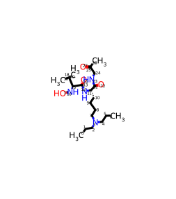 CCCN(CCC)CCCC[C@H](NC(=O)[C@@H](NO)C(C)C)C(=O)NCC(C)=O